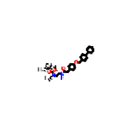 CN(CCNC(=O)Cc1ccc(OCc2ccc(-c3ccccc3)cc2)cc1)C(=O)OC(C)(C)C